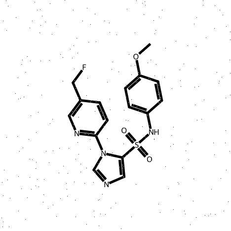 COc1ccc(NS(=O)(=O)c2cncn2-c2ccc(CF)cn2)cc1